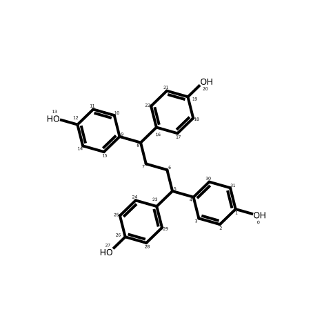 Oc1ccc(C(CCC(c2ccc(O)cc2)c2ccc(O)cc2)c2ccc(O)cc2)cc1